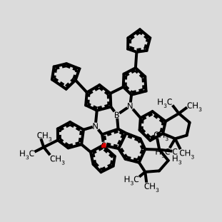 CC(C)(C)c1ccc(N2c3cc(-c4ccccc4)cc4c3B(c3c2sc2cc5c(cc32)C(C)(C)CCC5(C)C)N(c2ccc3c(c2)C(C)(C)CCC3(C)C)c2ccc(-c3ccccc3)cc2-4)c(-c2ccccc2)c1